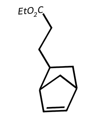 CCOC(=O)CCC1CC2C=CC1C2